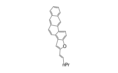 CCC/C=C/c1cc2c(ccc3c4cc5ccccc5cc4ccc23)o1